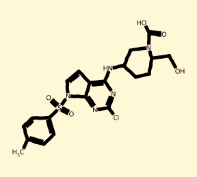 Cc1ccc(S(=O)(=O)n2ccc3c(NC4CCC(CO)N(C(=O)O)C4)nc(Cl)nc32)cc1